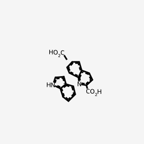 CC(=O)O.O=C(O)c1ccc2ccccc2n1.c1ccc2[nH]ccc2c1